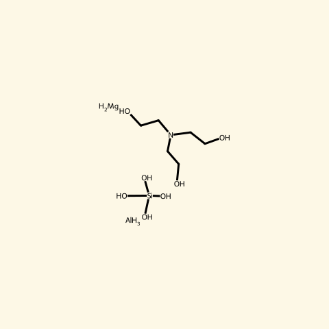 OCCN(CCO)CCO.O[Si](O)(O)O.[AlH3].[MgH2]